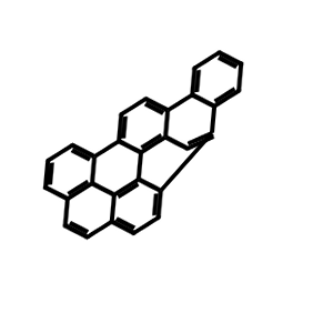 c1ccc2c(c1)c1ccc3c4cccc5ccc6ccc7c2cc1c3c7c6c54